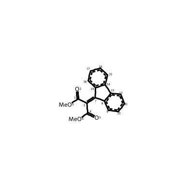 COC(=O)C(C(=O)OC)=C1c2ccccc2-c2ccccc21